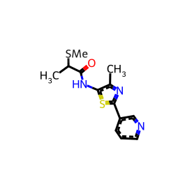 CSC(C)C(=O)Nc1sc(-c2cccnc2)nc1C